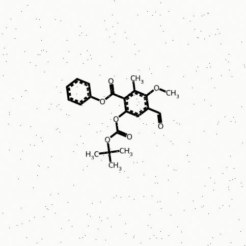 COc1c(C=O)cc(OC(=O)OC(C)(C)C)c(C(=O)Oc2ccccc2)c1C